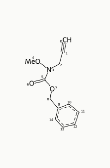 C#CCN(OC)C(=O)OCc1ccccc1